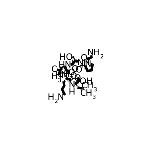 CC(C)C[C@H](NC(=O)[C@H](CCCCN)NC(=O)[C@H](CC(C)C)NC(=O)[C@H](CO)NC(=O)[C@@H]1CCCN1C(=O)CN)C(=O)O